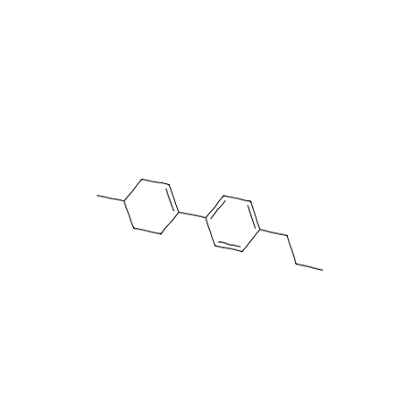 CCCc1ccc(C2=CCC(C)CC2)cc1